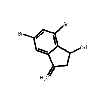 C=C1CC(O)c2c(Br)cc(Br)cc21